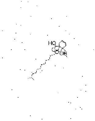 CC(C)CCCCCCCCCCCCC1(C(=O)O)CC=CCC1(CC(C)C)C(=O)O